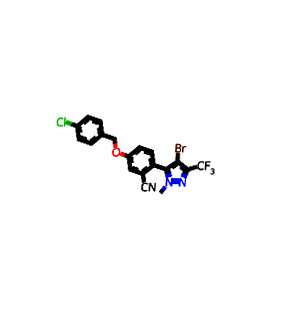 Cn1nc(C(F)(F)F)c(Br)c1-c1ccc(OCc2ccc(Cl)cc2)cc1C#N